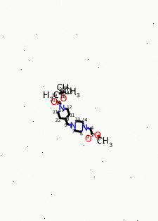 COC(=O)CN1CCN(CC2CCN(C(=O)OC(C)(C)C)CC2)CC1